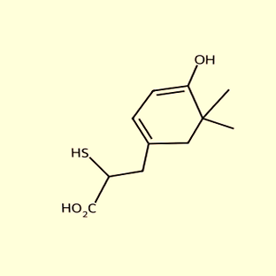 CC1(C)CC(CC(S)C(=O)O)=CC=C1O